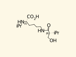 CC(C)N[C@@H](CCCCNC(=O)[C@@H](CO)C(C)C)C(=O)O